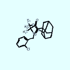 COC(=O)C12CC3CC(C1)C(N1C(=O)C(C)(C)N1Cc1ccccc1Cl)C(C3)C2